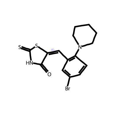 O=C1NC(=S)S/C1=C/c1cc(Br)ccc1N1CCCCC1